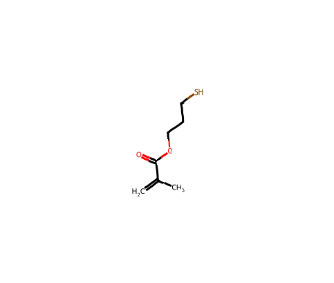 C=C(C)C(=O)OCCCS